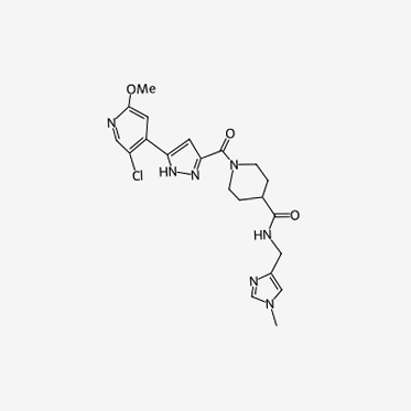 COc1cc(-c2cc(C(=O)N3CCC(C(=O)NCc4cn(C)cn4)CC3)n[nH]2)c(Cl)cn1